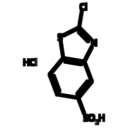 Cl.O=S(=O)(O)c1ccc2sc(Cl)nc2c1